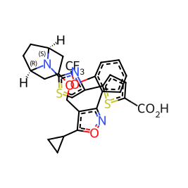 O=C(O)c1ccc(-c2csc(N3[C@@H]4CC[C@H]3CC(OCc3c(-c5ccccc5OC(F)(F)F)noc3C3CC3)C4)n2)s1